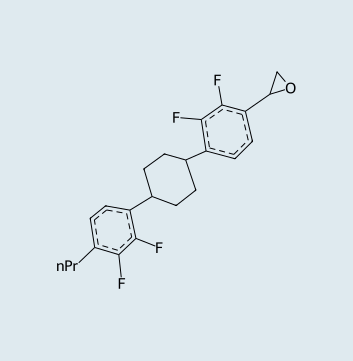 CCCc1ccc(C2CCC(c3ccc(C4CO4)c(F)c3F)CC2)c(F)c1F